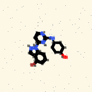 O[C@H]1CC[C@H](Nc2nccc(-n3ncc4c(Br)cccc43)n2)CC1